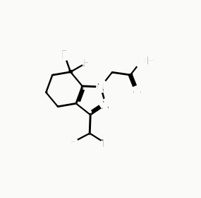 O=C(O)Cn1nc(C(F)F)c2c1C(F)(F)CCC2